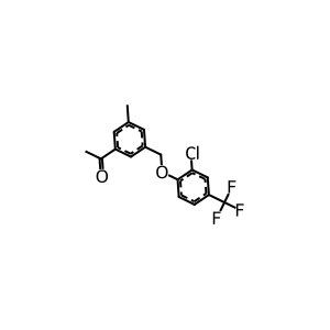 CC(=O)c1cc(C)cc(COc2ccc(C(F)(F)F)cc2Cl)c1